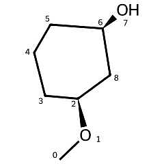 CO[C@H]1CCC[C@@H](O)C1